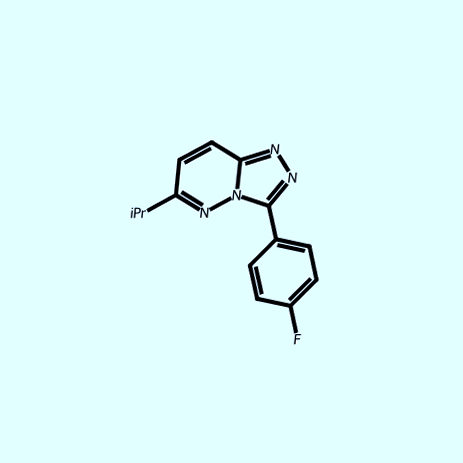 CC(C)c1ccc2nnc(-c3ccc(F)cc3)n2n1